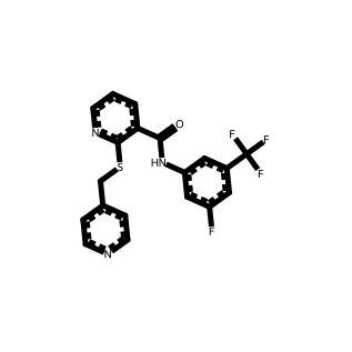 O=C(Nc1cc(F)cc(C(F)(F)F)c1)c1cccnc1SCc1ccncc1